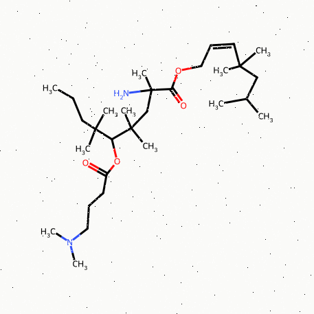 CCCC(C)(C)C(OC(=O)CCCN(C)C)C(C)(C)CC(C)(N)C(=O)OC/C=C\C(C)(C)CC(C)C